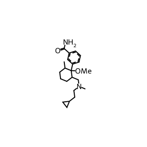 COC1(c2cccc(C(N)=O)c2)C(C)CCCC1CN(C)CCC1CC1